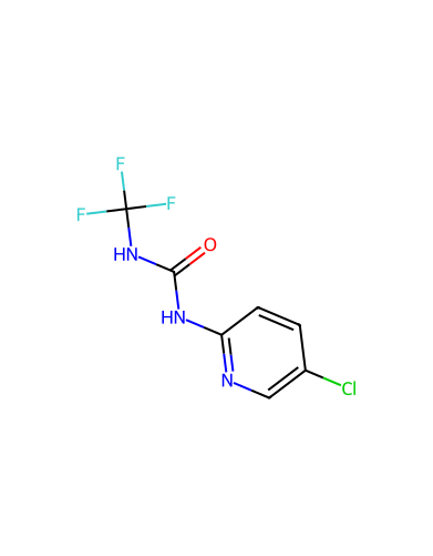 O=C(Nc1ccc(Cl)cn1)NC(F)(F)F